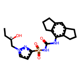 CC[C@@H](O)Cn1ccc(S(=O)(=O)NC(=O)Nc2c3c(cc4c2CCC4)CCC3)n1